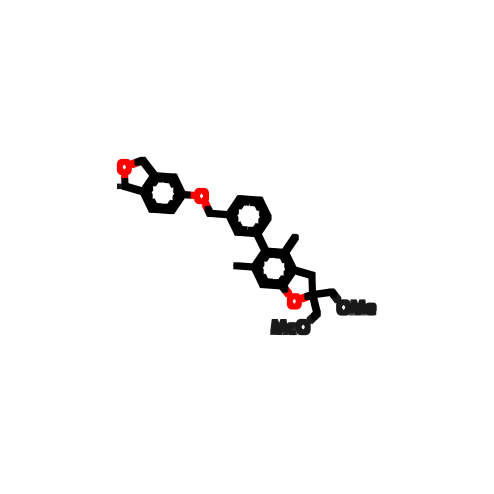 COCC1(COC)Cc2c(cc(C)c(-c3cccc(COc4ccc5c(c4)CO[CH]5)c3)c2C)O1